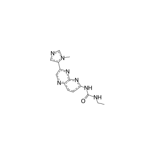 CCNC(=O)Nc1ccc2ncc(-c3cncn3C)nc2n1